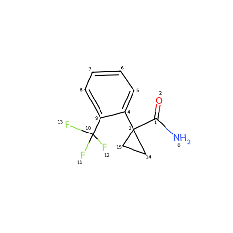 NC(=O)C1(c2ccccc2C(F)(F)F)CC1